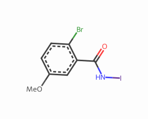 COc1ccc(Br)c(C(=O)NI)c1